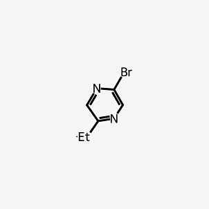 C[CH]c1cnc(Br)cn1